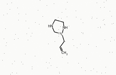 C=C[CH][13CH]1CNCCN1